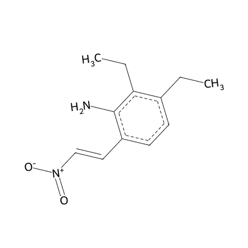 CCc1ccc(C=C[N+](=O)[O-])c(N)c1CC